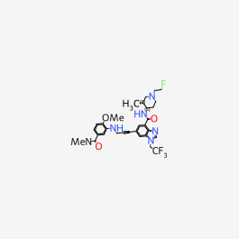 CNC(=O)c1ccc(OC)c(NCC#Cc2cc(C(=O)N[C@H]3CCN(CCF)C[C@@H]3C)c3ncn(CC(F)(F)F)c3c2)c1